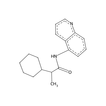 CC(C(=O)Nc1cccc2ncccc12)C1CCCCC1